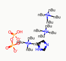 CCCC[N+](CCCC)(CCCC)CCCC.CCCC[N+](CCCC)(CCCC)CCCC.CCCC[N+](CCCC)(CCCC)CCCC.O=P([O-])([O-])OP(=O)([O-])O.c1c[nH]cn1